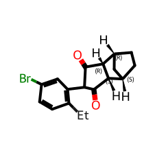 CCc1ccc(Br)cc1C1C(=O)[C@@H]2[C@@H]3CC[C@@H](C3)[C@@H]2C1=O